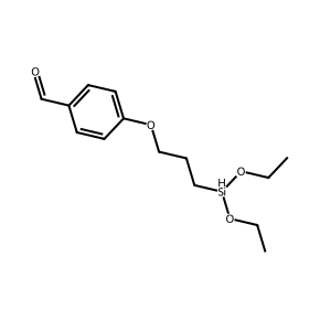 CCO[SiH](CCCOc1ccc(C=O)cc1)OCC